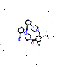 Cc1cc(C)c(C(=O)N2CCN(c3ccccc3C#N)CC2)cc1CN1CCN(c2ncccc2C#N)CC1